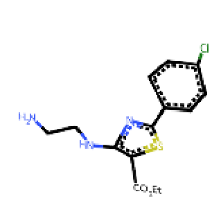 CCOC(=O)c1sc(-c2ccc(Cl)cc2)nc1NCCN